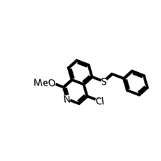 COc1ncc(Cl)c2c(SCc3ccccc3)cccc12